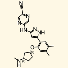 CN[C@@H]1CC[C@@H](Oc2cc(C)c(C)cc2-c2cc(Nc3cnc(C#N)cn3)n[nH]2)C1